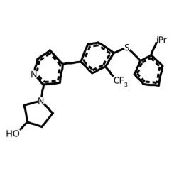 CC(C)c1ccccc1Sc1ccc(-c2ccnc(N3CCC(O)C3)c2)cc1C(F)(F)F